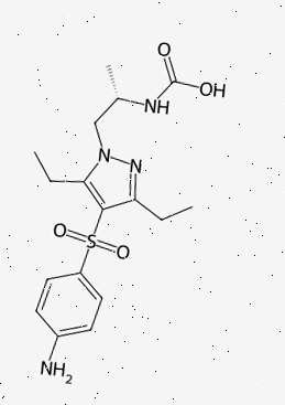 CCc1nn(C[C@H](C)NC(=O)O)c(CC)c1S(=O)(=O)c1ccc(N)cc1